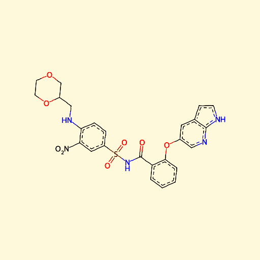 O=C(NS(=O)(=O)c1ccc(NCC2COCCO2)c([N+](=O)[O-])c1)c1ccccc1Oc1cnc2[nH]ccc2c1